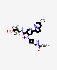 COC(=O)NC[C@H]1C[C@H](Nc2cc(-c3ccc4cc(C#N)cnn34)ncc2C(=O)NC[C@@H](F)C(C)(C)O)C1